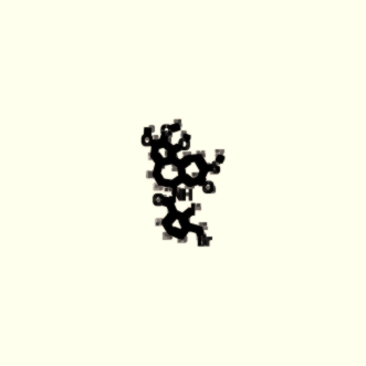 COc1cc2c(c(OC)c1OC)-c1ccc(SC)c(=O)cc1[C@@H](NC(=O)c1cccc(CBr)c1I)CC2